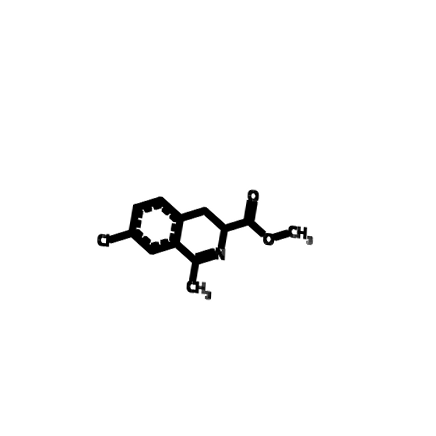 COC(=O)C1Cc2ccc(Cl)cc2C(C)=N1